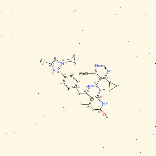 COc1ncnc(C2CC2)c1-c1nc(Cc2ccc(-c3nc(C(F)(F)F)cn3C3CC3)cc2)c2c(n1)=NC(=O)CC=2C